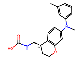 Cc1cccc(N(C)c2ccc3c(c2)OCC[C@H]3CNC(=O)O)c1